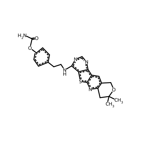 CC1(C)Cc2nc3sc4c(NCCc5ccc(OC(N)=O)cc5)ncnc4c3cc2CO1